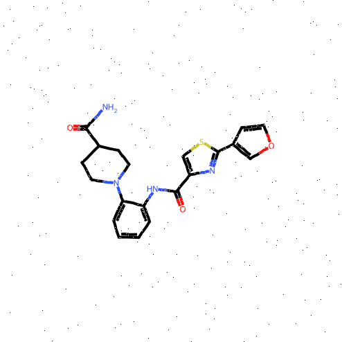 NC(=O)C1CCN(c2ccccc2NC(=O)c2csc(-c3ccoc3)n2)CC1